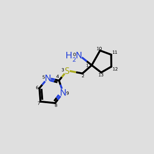 NC1(CSc2ncccn2)CCCC1